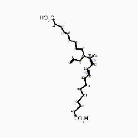 C=CCC(CCCCCCCCC(=O)O)/C(C)=C\C=C\CCCCCCCC(=O)O